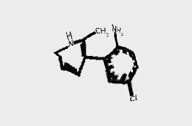 CC1=C(c2cc(Cl)ccc2N)[C]=CCN1